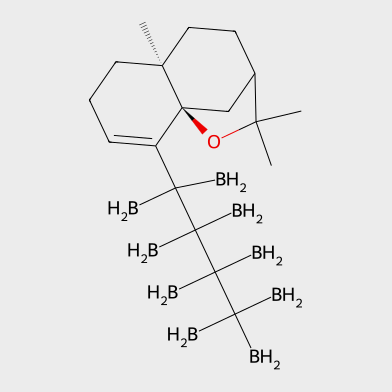 BC(B)(B)C(B)(B)C(B)(B)C(B)(B)C1=CCC[C@@]2(C)CCC3C[C@]12OC3(C)C